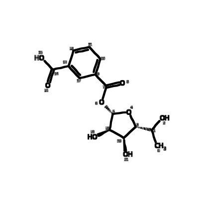 CC(O)[C@H]1O[C@@H](OC(=O)c2cccc(C(=O)O)c2)[C@H](O)[C@@H]1O